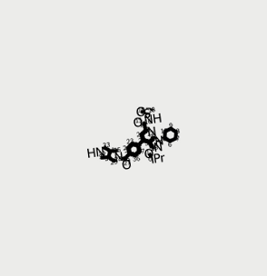 CC(C)Oc1nn(C2CCCCC2)c2nc(C(=O)N[S+](C)[O-])cc(-c3ccc(C(=O)N4CC5CNCC5C4)cc3)c12